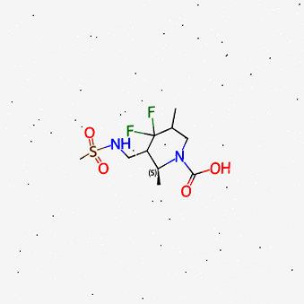 CC1CN(C(=O)O)[C@@H](C)C(CNS(C)(=O)=O)C1(F)F